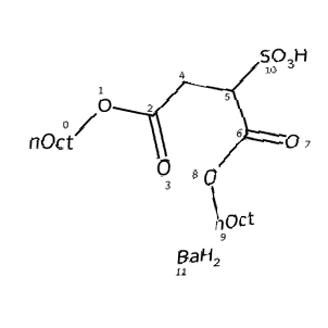 CCCCCCCCOC(=O)CC(C(=O)OCCCCCCCC)S(=O)(=O)O.[BaH2]